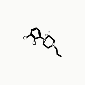 CCCN1CCN(c2cccc(Cl)c2Cl)[C@H](C)C1